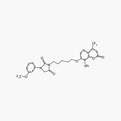 CCCc1c(OCCCCCN2C(=O)CN(c3cccc(OC(F)(F)F)c3)C2=O)ccc2c(C(F)(F)F)cc(=O)oc12